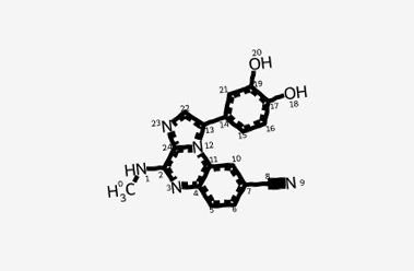 CNc1nc2ccc(C#N)cc2n2c(-c3ccc(O)c(O)c3)cnc12